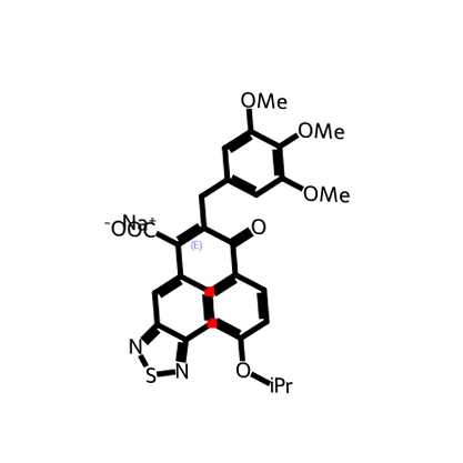 COc1cc(C/C(C(=O)c2ccc(OC(C)C)cc2)=C(\C(=O)[O-])c2ccc3nsnc3c2)cc(OC)c1OC.[Na+]